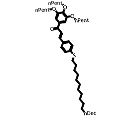 CCCCCCCCCCCCCCCCCCCCCSc1ccc(C=CC(=O)c2cc(OCCCCC)c(OCCCCC)c(OCCCCC)c2)cc1